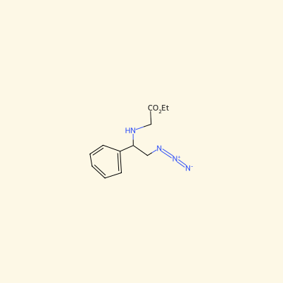 CCOC(=O)CNC(CN=[N+]=[N-])c1ccccc1